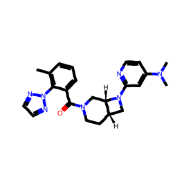 Cc1cccc(C(=O)N2CC[C@H]3CN(c4cc(N(C)C)ccn4)[C@H]3C2)c1-n1nccn1